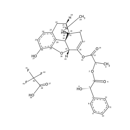 CC(OC(=O)[C@@H](O)c1ccccc1)C(=O)OC1=CC[C@@]2(O)[C@H]3Cc4ccc(O)c5c4[C@@]2(CCN3C)[C@H]1O5.O=C(O)C(F)(F)F